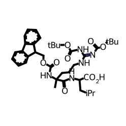 CC(C)CC(NC(=O)C(C)(CCCN/C(=N/C(=O)OC(C)(C)C)NC(=O)OC(C)(C)C)NC(=O)OCC1c2ccccc2-c2ccccc21)C(=O)O